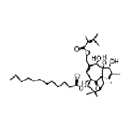 CCCCCCCCCCCC(=O)O[C@@H]1[C@@H]2C=C(COC(=O)C(C)=C(C)C)[C@@H](O)[C@]3(O)[C@@H](O)C(C)=C[C@@]3(C2=O)[C@H](C)CC1(C)C